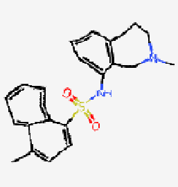 Cc1ccc(S(=O)(=O)Nc2cccc3c2CN(C)CC3)c2ccccc12